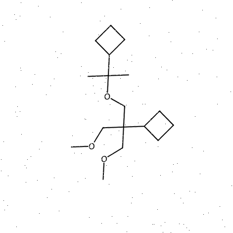 COCC(COC)(COC(C)(C)C1CCC1)C1CCC1